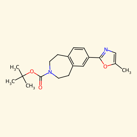 Cc1cnc(-c2ccc3c(c2)CCN(C(=O)OC(C)(C)C)CC3)o1